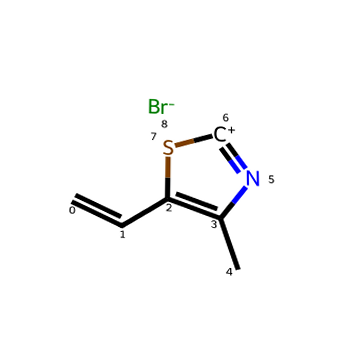 C=CC1=C(C)N=[C+]S1.[Br-]